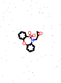 O=S1(=O)c2ccccc2Oc2ccccc2N1CC1CO1